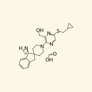 N[C@@H]1c2ccccc2CC12CCN(c1ncc(SCC3CC3)nc1CO)CC2.O=CO